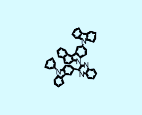 c1ccc(-n2c3ccccc3c3cc(-c4nc5ccccc5nc4-n4c5ccc(-n6c7ccccc7c7ccccc76)cc5c5c6ccccc6ccc54)ccc32)cc1